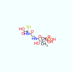 CC(C)(COP(=O)(O)O)C(O)C(=O)NCCC(=O)N[C@@H](CS)C(=O)O